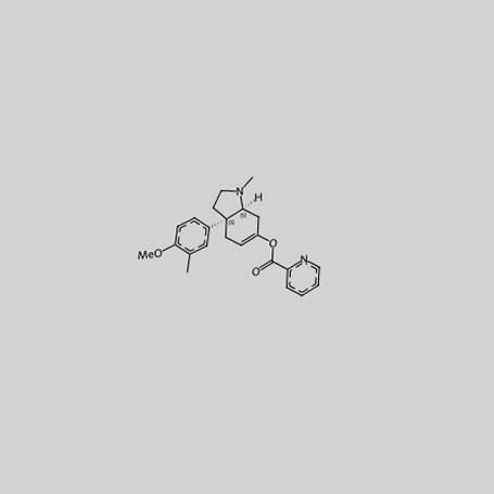 COc1ccc([C@@]23CC=C(OC(=O)c4ccccn4)C[C@@H]2N(C)CC3)cc1C